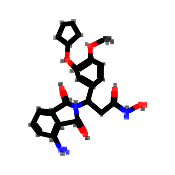 COc1ccc(C(CC(=O)NO)N2C(=O)c3cccc(N)c3C2=O)cc1OC1CCCC1